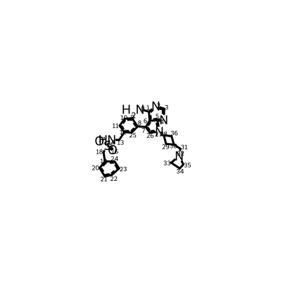 Nc1ncnc2c1c(-c1cccc(CNS(=O)(=O)Cc3ccccc3)c1)cn2C1CC(CN2CCC2)C1